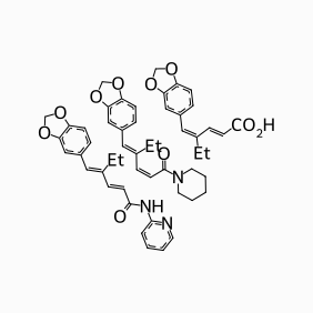 CCC(/C=C/C(=O)Nc1ccccn1)=C\c1ccc2c(c1)OCO2.CCC(/C=C\C(=O)N1CCCCC1)=C\c1ccc2c(c1)OCO2.CCC(=C/c1ccc2c(c1)OCO2)/C=C/C(=O)O